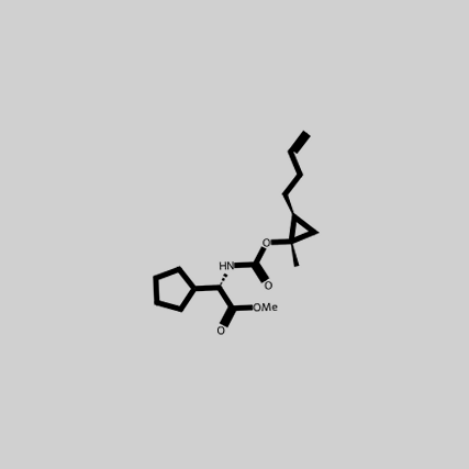 C=CCC[C@H]1C[C@]1(C)OC(=O)N[C@H](C(=O)OC)C1CCCC1